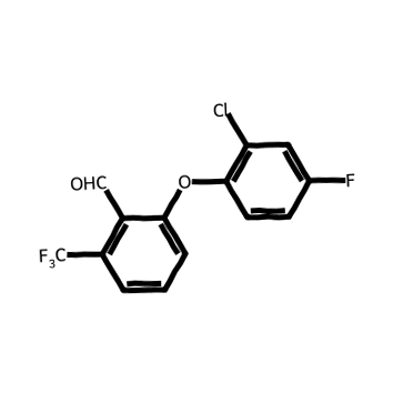 O=Cc1c(Oc2ccc(F)cc2Cl)cccc1C(F)(F)F